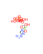 Nc1ccn([C@@H]2O[C@H](COP(=O)(O)OP(=O)(O)OP(=O)(O)O)C(O)C2(F)F)c(=O)n1